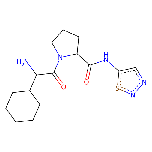 NC(C(=O)N1CCCC1C(=O)Nc1cnns1)C1CCCCC1